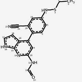 CCSNc1ccc(-c2cc(NC=O)nc3[nH]ccc23)c(C#N)c1